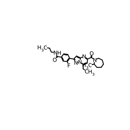 CCCNC(=O)c1ccc(-c2cc3nc(C(=O)N4CCCCCC4C)cc(CC)n3n2)c(F)c1